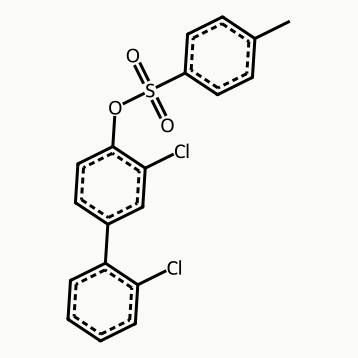 Cc1ccc(S(=O)(=O)Oc2ccc(-c3ccccc3Cl)cc2Cl)cc1